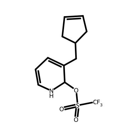 O=S(=O)(OC1NC=CC=C1CC1CC=CC1)C(F)(F)F